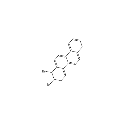 BrC1CC=c2c(ccc3c4c(ccc23)CC=CC=4)C1Br